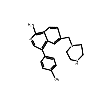 Nc1ncc(-c2ccc(O)cc2)c2cc(CN3CCNCC3)ccc12